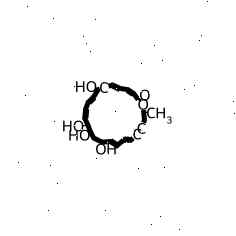 C[C@@H]1CCC/C=C/C=C/[C@H](O)C[C@@H](O)[C@H](O)/C=C\C=C\[C@@H](O)C/C=C/C=C\C(=O)O1